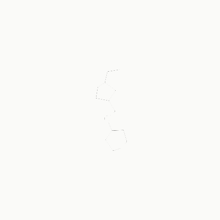 [CH2]CC1C[CH]C(COC2CCCCC2)C1